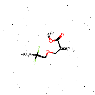 C=C(COCC(F)(F)S(=O)(=O)O)C(=O)OCCC